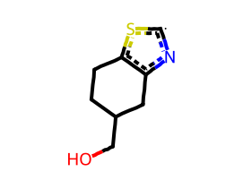 OCC1CCc2s[c]nc2C1